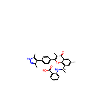 Cc1cc([C@@H](C)Nc2ccccc2C(=O)O)c2oc(-c3ccc(-c4c(C)n[nH]c4C)cc3)c(C)c(=O)c2c1